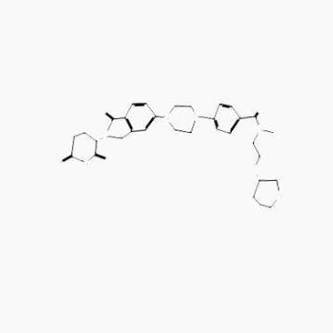 CN(CCO[C@@H]1CCCNC1)C(=O)c1ccc(N2CCN(c3ccc4c(c3)CN([C@@H]3CCC(=O)NC3=O)C4=O)CC2)cc1